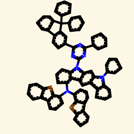 c1ccc(-c2nc(-c3ccc4c(c3)C(c3ccccc3)(c3ccccc3)c3ccccc3-4)nc(-n3c4cc5c(cc4c4c(N(c6cccc7c6sc6ccccc67)c6cccc7c6sc6ccccc67)cccc43)c3ccccc3n5-c3ccccc3)n2)cc1